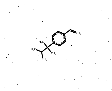 C=Cc1ccc(C(C)(C)C(C)C)cc1